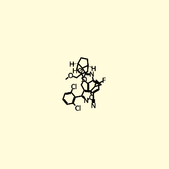 COCC1(OCc2c(-c3c(Cl)cccc3Cl)noc2C2CC2)C[C@H]2CC[C@@H](C1)[C@@]2(O)c1nc2c(F)cc(C#N)cc2s1